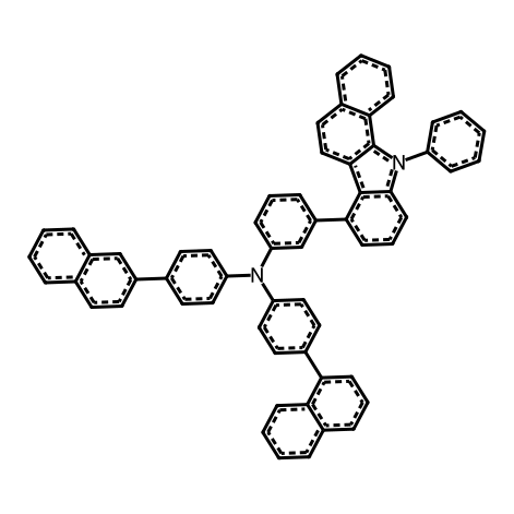 c1ccc(-n2c3cccc(-c4cccc(N(c5ccc(-c6ccc7ccccc7c6)cc5)c5ccc(-c6cccc7ccccc67)cc5)c4)c3c3ccc4ccccc4c32)cc1